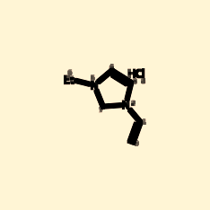 C=CN1C=CN(CC)C1.Cl